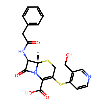 O=C(Cc1ccccc1)N[C@@H]1C(=O)N2C(C(=O)O)=C(Sc3ccncc3CO)CS[C@@H]12